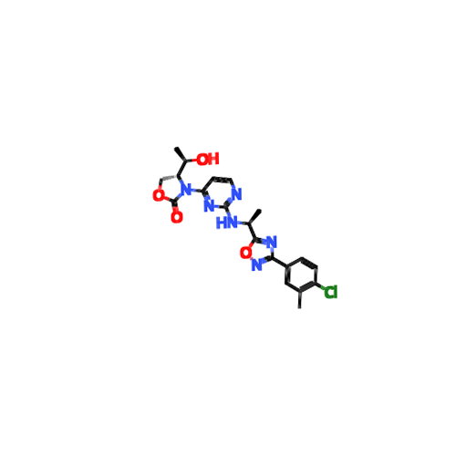 Cc1cc(-c2noc([C@H](C)Nc3nccc(N4C(=O)OC[C@@H]4[C@@H](C)O)n3)n2)ccc1Cl